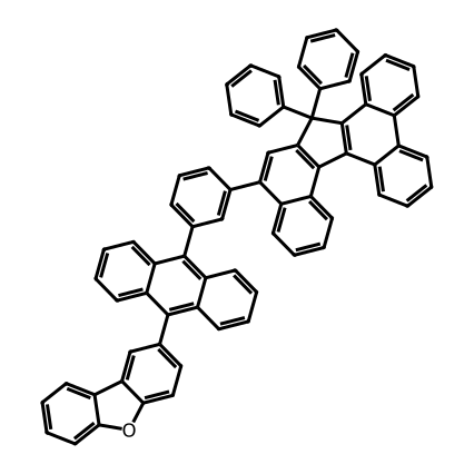 c1ccc(C2(c3ccccc3)c3cc(-c4cccc(-c5c6ccccc6c(-c6ccc7oc8ccccc8c7c6)c6ccccc56)c4)c4ccccc4c3-c3c2c2ccccc2c2ccccc32)cc1